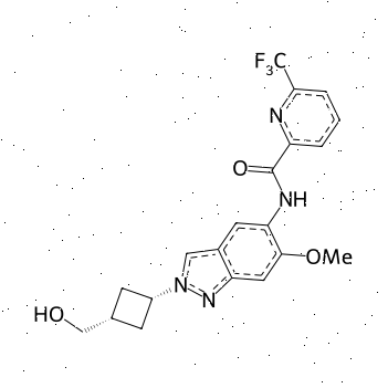 COc1cc2nn([C@H]3C[C@@H](CO)C3)cc2cc1NC(=O)c1cccc(C(F)(F)F)n1